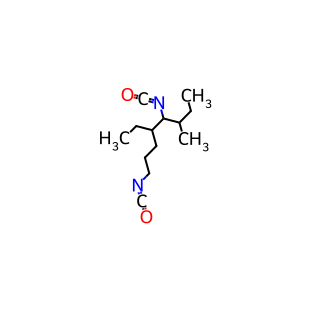 CCC(C)C(N=C=O)C(CC)CCCN=C=O